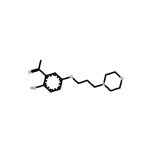 CC(=O)c1cc(OCCCN2CCOCC2)ccc1O